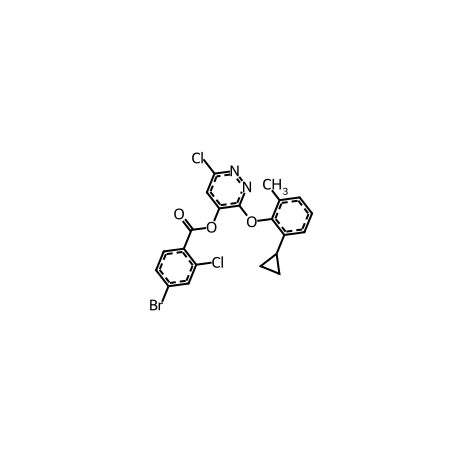 Cc1cccc(C2CC2)c1Oc1nnc(Cl)cc1OC(=O)c1ccc(Br)cc1Cl